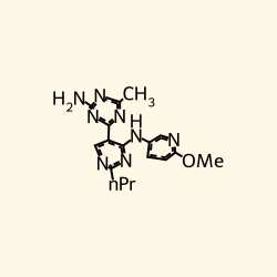 CCCc1ncc(-c2nc(C)nc(N)n2)c(Nc2ccc(OC)nc2)n1